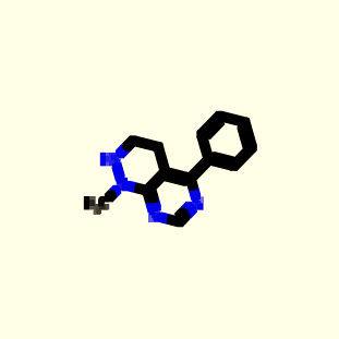 CN1NCCc2c(-c3ccccc3)ncnc21